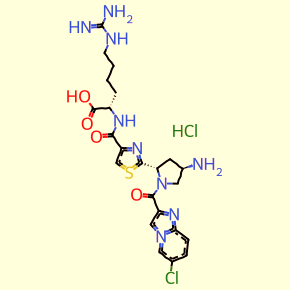 Cl.N=C(N)NCCCC[C@H](NC(=O)c1csc([C@@H]2C[C@@H](N)CN2C(=O)c2cn3cc(Cl)ccc3n2)n1)C(=O)O